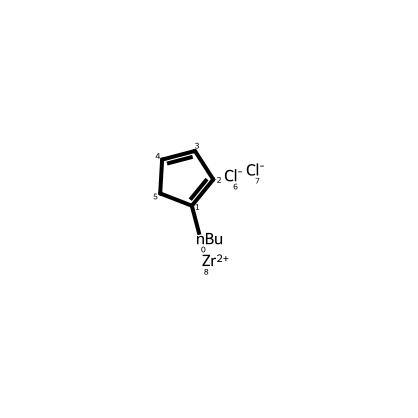 CCCCC1=CC=CC1.[Cl-].[Cl-].[Zr+2]